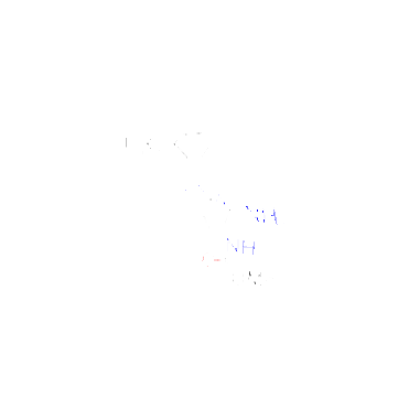 COC(=O)Nc1ccc(NCc2cccc(C(F)(F)F)c2)nc1N